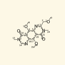 COCc1nc2c(OC)c3c(=O)n(C)cnc3c(OC)c2c(=O)n1C